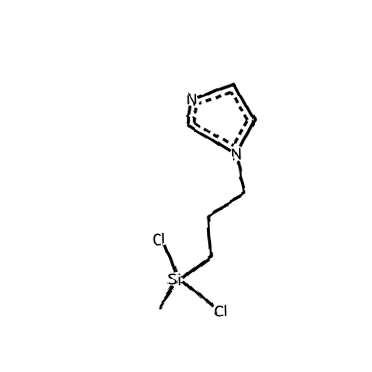 C[Si](Cl)(Cl)CCCn1ccnc1